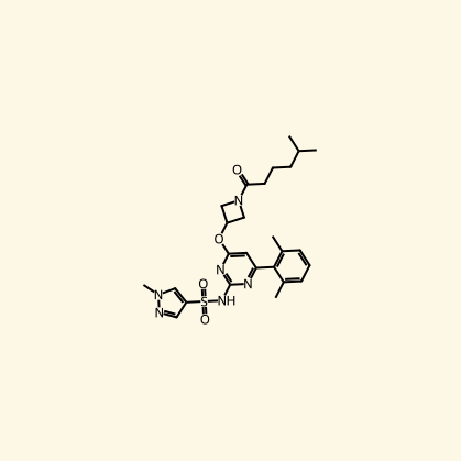 Cc1cccc(C)c1-c1cc(OC2CN(C(=O)CCCC(C)C)C2)nc(NS(=O)(=O)c2cnn(C)c2)n1